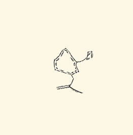 C=C(C)c1cccc(CC)c1